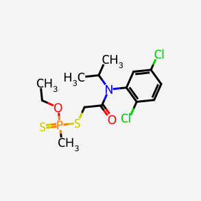 CCOP(C)(=S)SCC(=O)N(c1cc(Cl)ccc1Cl)C(C)C